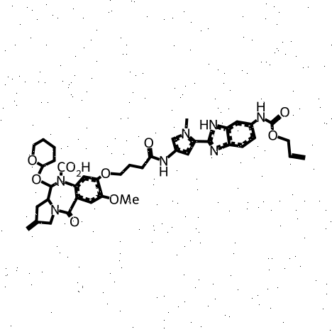 C=CCOC(=O)Nc1ccc2nc(-c3cc(NC(=O)CCCOc4cc5c(cc4OC)C(=O)N4CC(=C)CC4C(OC4CCCCO4)N5C(=O)O)cn3C)[nH]c2c1